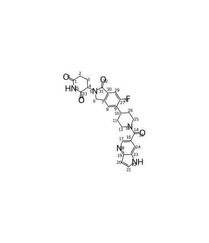 O=C1CCC(N2Cc3cc(C4CCN(C(=O)c5cnc6cc[nH]c6c5)CC4)c(F)cc3C2=O)C(=O)N1